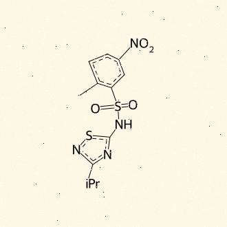 Cc1ccc([N+](=O)[O-])cc1S(=O)(=O)Nc1nc(C(C)C)ns1